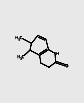 CC1C=CC2=C(CCC(=O)N2)C1C